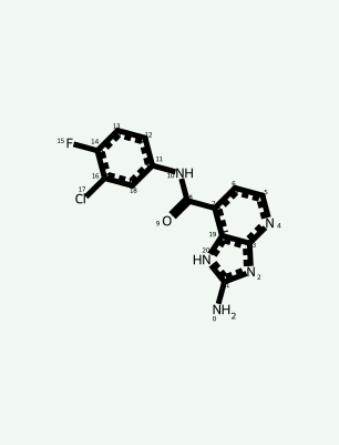 Nc1nc2nccc(C(=O)Nc3ccc(F)c(Cl)c3)c2[nH]1